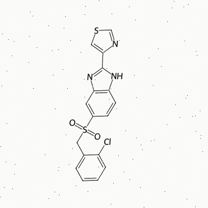 O=S(=O)(Cc1ccccc1Cl)c1ccc2[nH]c(-c3cscn3)nc2c1